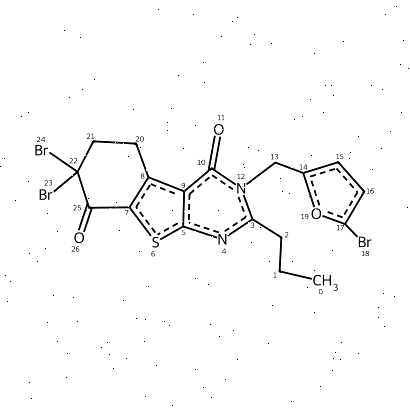 CCCc1nc2sc3c(c2c(=O)n1Cc1ccc(Br)o1)CCC(Br)(Br)C3=O